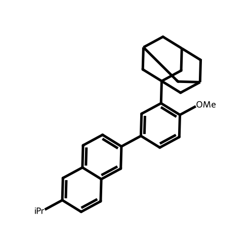 COc1ccc(-c2ccc3cc(C(C)C)ccc3c2)cc1C12CC3CC(CC(C3)C1)C2